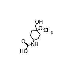 COC1(CO)CCC(NC(=O)O)CC1